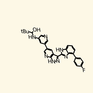 CC(C)(C)C(O)Nc1cncc(-c2cnc3[nH]nc(-c4nc5c(-c6ccc(F)cc6)cccc5[nH]4)c3c2)c1